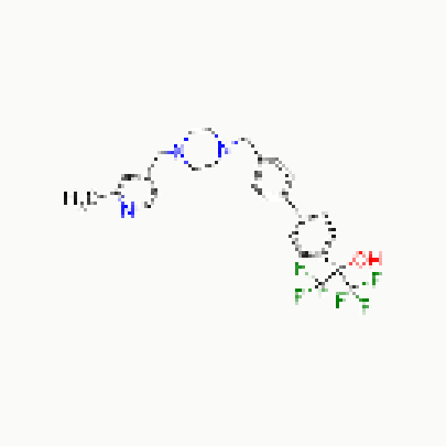 Cc1cc(CN2CCN(Cc3ccc(-c4ccc(C(O)(C(F)(F)F)C(F)(F)F)cc4)cc3)CC2)ccn1